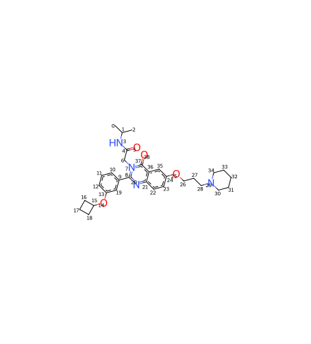 CC(C)NC(=O)Cn1c(-c2cccc(OC3CCC3)c2)nc2ccc(OCCCN3CCCCC3)cc2c1=O